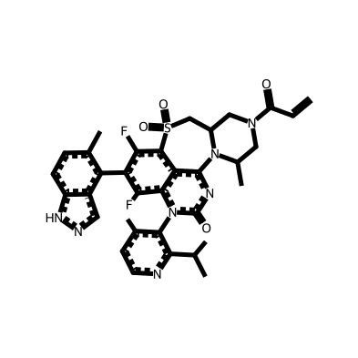 C=CC(=O)N1CC(C)N2c3nc(=O)n(-c4c(C)ccnc4C(C)C)c4c(F)c(-c5c(C)ccc6[nH]ncc56)c(F)c(c34)S(=O)(=O)CC2C1